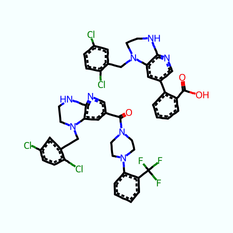 O=C(O)c1ccccc1-c1cnc2c(c1)N(Cc1cc(Cl)ccc1Cl)CCN2.O=C(c1cnc2c(c1)N(Cc1cc(Cl)ccc1Cl)CCN2)N1CCN(c2ccccc2C(F)(F)F)CC1